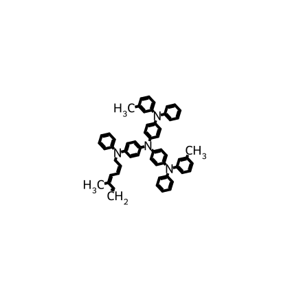 C=C/C(C)=C\C=C/CN(c1ccccc1)c1ccc(N(c2ccc(N(c3ccccc3)c3cccc(C)c3)cc2)c2ccc(N(c3ccccc3)c3cccc(C)c3)cc2)cc1